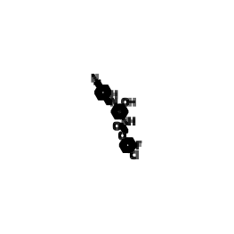 N#Cc1ccc(CNC23CCC(NC(=O)COc4ccc(Cl)c(F)c4)(CC2)CC3O)cc1